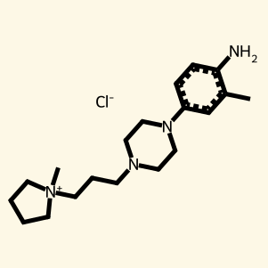 Cc1cc(N2CCN(CCC[N+]3(C)CCCC3)CC2)ccc1N.[Cl-]